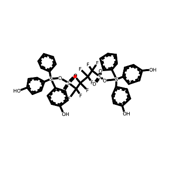 O=S(=O)(OS(c1ccccc1)(c1ccc(O)cc1)c1ccc(O)cc1)C(F)(F)C(F)(F)C(F)(F)C(F)(F)S(=O)(=O)OS(c1ccccc1)(c1ccc(O)cc1)c1ccc(O)cc1